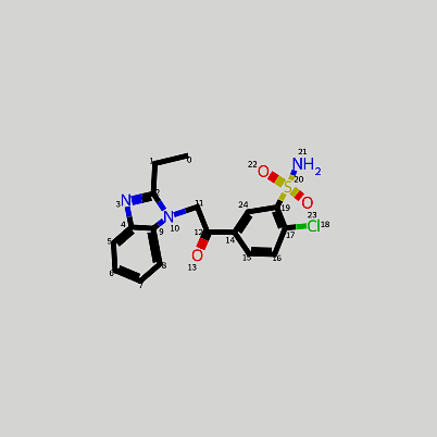 CCc1nc2ccccc2n1CC(=O)c1ccc(Cl)c(S(N)(=O)=O)c1